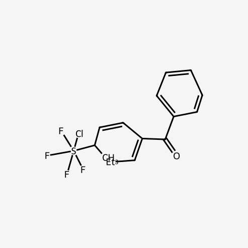 CC/C=C(\C=C/C(C)S(F)(F)(F)(F)Cl)C(=O)c1ccccc1